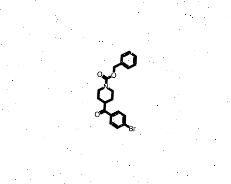 O=C(c1ccc(Br)cc1)C1CCN(C(=O)OCc2ccccc2)CC1